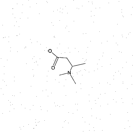 CC(CC([O])=O)N(C)C